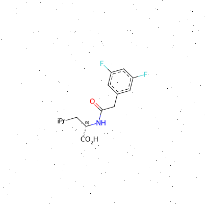 CC(C)C[C@H](NC(=O)Cc1cc(F)cc(F)c1)C(=O)O